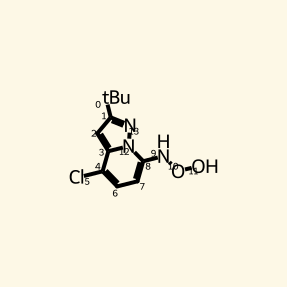 CC(C)(C)c1cc2c(Cl)ccc(NOO)n2n1